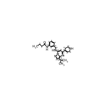 CCCC(=O)Nc1cccc(CNc2cc(C3=CCNCC3)nc3c(C(C)C)cnn23)c1